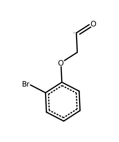 O=[C]COc1ccccc1Br